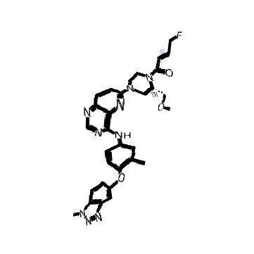 COC[C@@H]1CN(c2ccc3ncnc(Nc4ccc(Oc5ccc6c(c5)nnn6C)c(C)c4)c3n2)CCN1C(=O)/C=C/CF